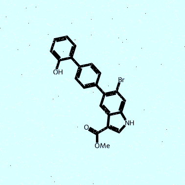 COC(=O)c1c[nH]c2cc(Br)c(-c3ccc(-c4ccccc4O)cc3)cc12